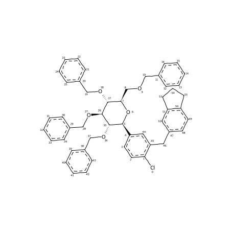 Clc1ccc([C@@H]2O[C@H](COCc3ccccc3)[C@@H](OCc3ccccc3)[C@H](OCc3ccccc3)[C@H]2OCc2ccccc2)cc1Cc1ccc2c(c1)CCC2